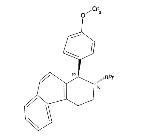 CCC[C@@H]1CCc2c(ccc3ccccc23)[C@H]1c1ccc(OC(F)(F)F)cc1